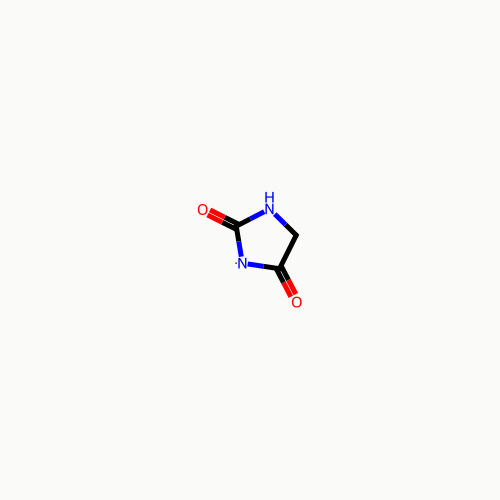 O=C1CNC(=O)[N]1